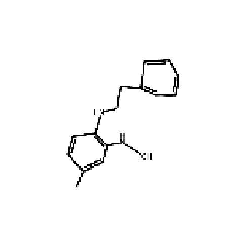 Cc1ccc(NCCc2ccccc2)c(NO)c1